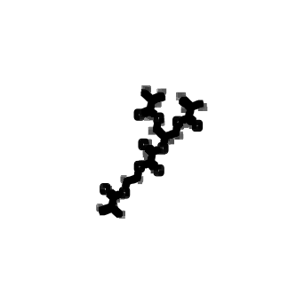 C=C(C)C(=O)OCCOC(=O)C(=O)OC(COC(=O)C(=C)C)COC(=O)C(=C)C